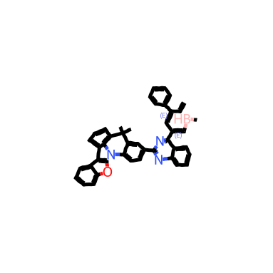 C=C/C(=C\C(=C/BC)c1nc(-c2ccc3c(c2)C(C)(C)c2cccc4c5c6ccccc6oc5n-3c24)nc2ccccc12)c1ccccc1